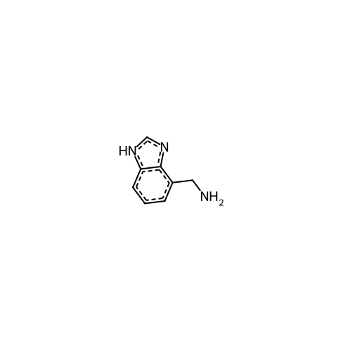 NCc1cccc2[nH]cnc12